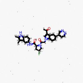 CC(=O)c1cn(CC(=O)N2C[C@H](F)CC2C(=O)Nc2ccc3[nH]c(C)c(C)c3c2)c2ccc(-c3ccnnc3)cc12